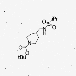 CC(C)S(=O)(=O)NCC1CCN(C(=O)OC(C)(C)C)CC1